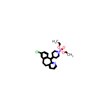 CCOP(=O)(OCC)N1CCC(=C2c3ccc(Cl)cc3CCc3cccnc32)CC1